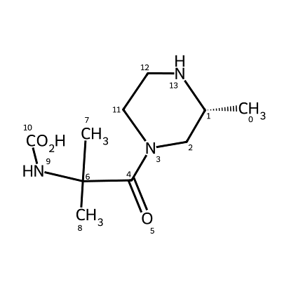 C[C@@H]1CN(C(=O)C(C)(C)NC(=O)O)CCN1